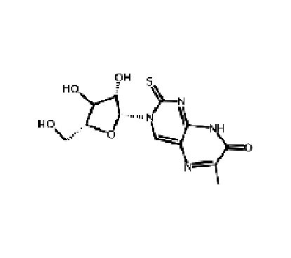 Cc1nc2cn([C@@H]3O[C@H](CO)C(O)[C@@H]3O)c(=S)nc2[nH]c1=O